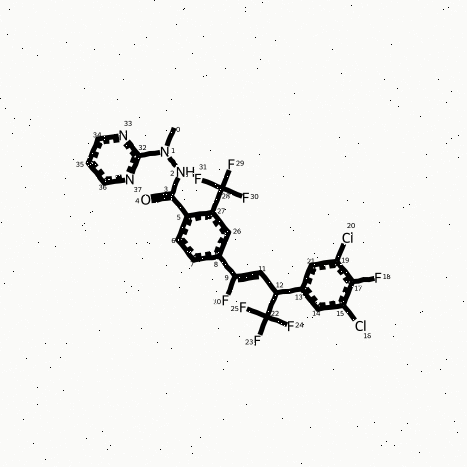 CN(NC(=O)c1ccc(/C(F)=C/C(c2cc(Cl)c(F)c(Cl)c2)C(F)(F)F)cc1C(F)(F)F)c1ncccn1